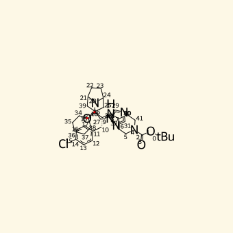 CC(C)(C)OC(=O)N1CCC(N[C@H](Cc2ccc(Cl)cc2)C(=O)N2C3CCC2CC(Cn2cncn2)(C2CCCCC2)C3)CC1